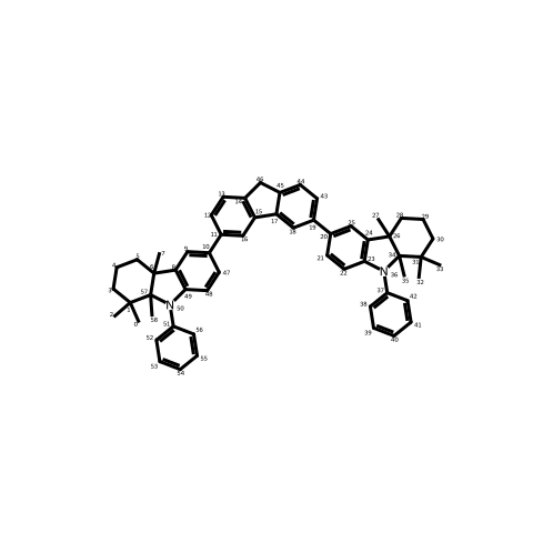 CC1(C)CCCC2(C)c3cc(-c4ccc5c(c4)-c4cc(-c6ccc7c(c6)C6(C)CCCC(C)(C)C6(C)N7c6ccccc6)ccc4C5)ccc3N(c3ccccc3)C12C